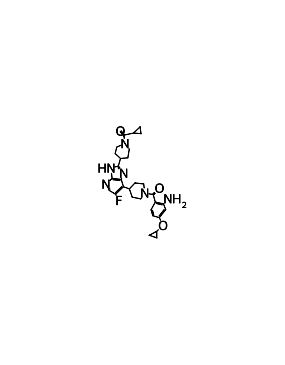 Nc1cc(OC2CC2)ccc1C(=O)N1CCC(c2c(F)cnc3[nH]c(C4CCN(C(=O)C5CC5)CC4)nc23)CC1